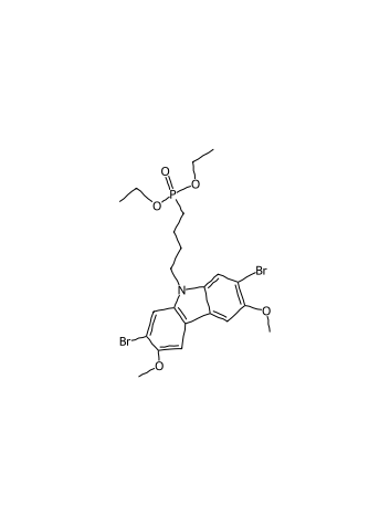 CCOP(=O)(CCCCn1c2cc(Br)c(OC)cc2c2cc(OC)c(Br)cc21)OCC